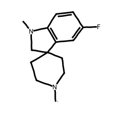 [CH2]N1CCC2(CC1)CN(C)c1ccc(F)cc12